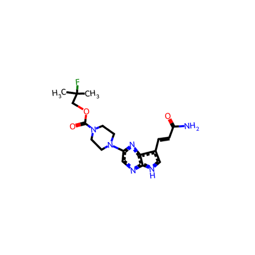 CC(C)(F)COC(=O)N1CCN(c2cnc3[nH]cc(C=CC(N)=O)c3n2)CC1